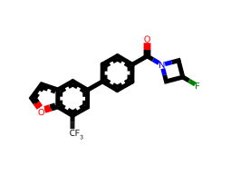 O=C(c1ccc(-c2cc(C(F)(F)F)c3occc3c2)cc1)N1CC(F)C1